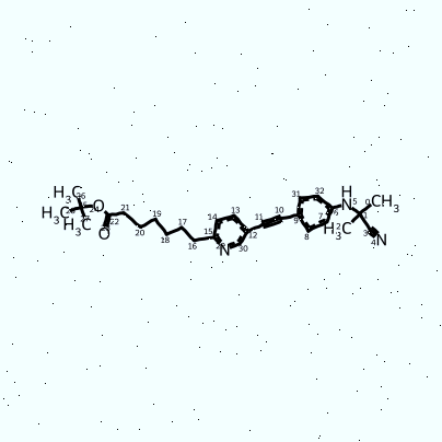 CC(C)(C#N)Nc1ccc(C#Cc2ccc(CCCCCCC(=O)OC(C)(C)C)nc2)cc1